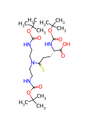 CC(C)(C)OC(=O)NCCN(CCNC(=O)OC(C)(C)C)C(=S)CC[C@H](NC(=O)OC(C)(C)C)C(=O)O